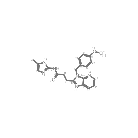 Cc1cnc(NC(=O)CCc2nc3cccnc3n2Cc2ccc(OC(F)(F)F)cc2)s1